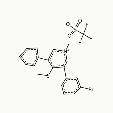 CSc1c(-c2ccccc2)c[n+](C)cc1-c1cccc(Br)c1.O=S(=O)([O-])C(F)(F)F